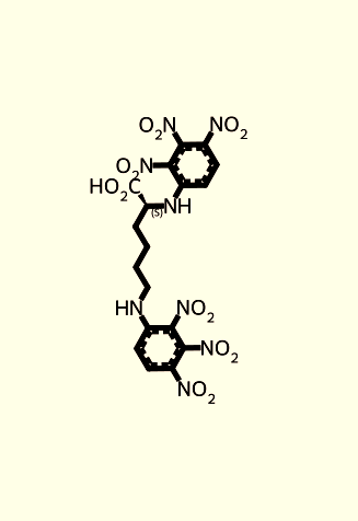 O=C(O)[C@H](CCCCNc1ccc([N+](=O)[O-])c([N+](=O)[O-])c1[N+](=O)[O-])Nc1ccc([N+](=O)[O-])c([N+](=O)[O-])c1[N+](=O)[O-]